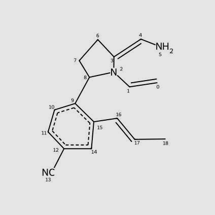 C=CN1/C(=C\N)CCC1c1ccc(C#N)cc1/C=C/C